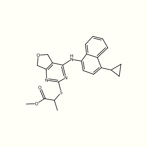 COC(=O)C(C)Sc1nc2c(c(Nc3ccc(C4CC4)c4ccccc34)n1)COC2